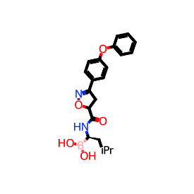 CC(C)C[C@H](NC(=O)C1CC(c2ccc(Oc3ccccc3)cc2)=NO1)B(O)O